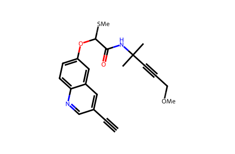 C#Cc1cnc2ccc(OC(SC)C(=O)NC(C)(C)C#CCOC)cc2c1